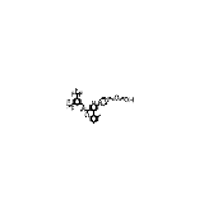 Cc1ccccc1-c1cc(N2CCN(CCOCCO)CC2)ncc1C(=O)N(C)Cc1cc(C(F)(F)F)cc(C(F)(F)F)c1